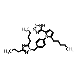 CCCCCc1ccc(-c2nnn[nH]2)n1-c1ccc(Cn2nc(CCC)nc2CCCC)cc1